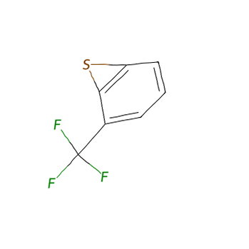 FC(F)(F)c1cccc2c1S2